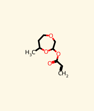 C=CC(=O)OC1COCCC(C)O1